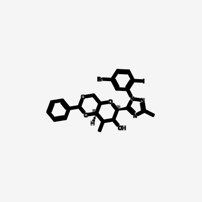 Cc1nc([C@@H]2OC3COC(c4ccccc4)O[C@@H]3C(C)C2O)n(-c2cc(Br)ccc2I)n1